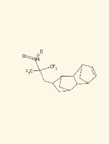 O=[SH](=O)C(CC1CC2CC1C1C3C=CC(C3)C21)(C(F)(F)F)C(F)(F)F